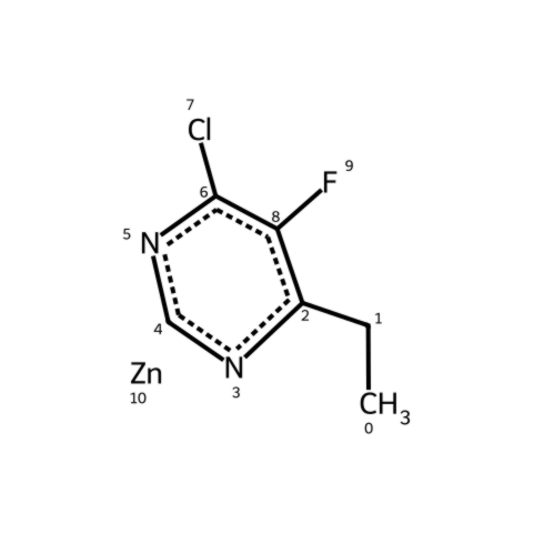 CCc1ncnc(Cl)c1F.[Zn]